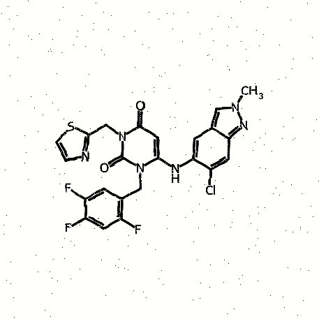 Cn1cc2cc(Nc3cc(=O)n(Cc4nccs4)c(=O)n3Cc3cc(F)c(F)cc3F)c(Cl)cc2n1